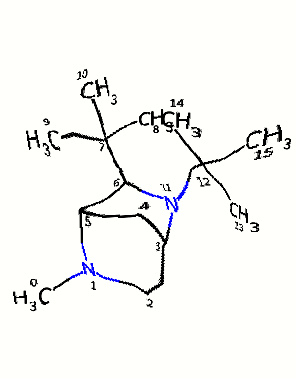 CN1CC2CC1C(C(C)(C)C)N2C(C)(C)C